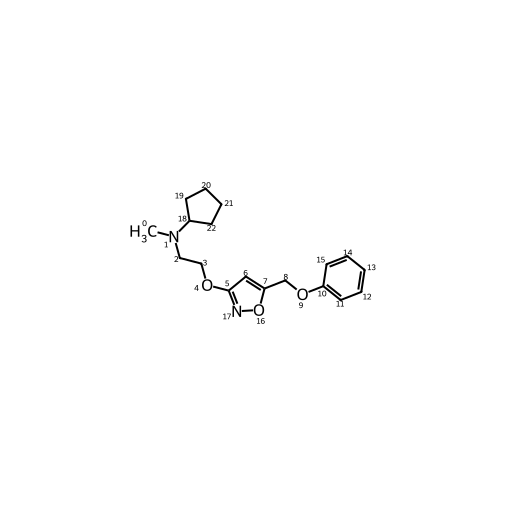 CN(CCOc1cc(COc2ccccc2)on1)C1CCCC1